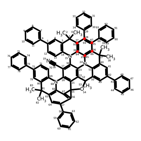 CC1(C)c2cc(-c3ccccc3)ccc2N(c2c(C#N)c3c4c5c2N2c6ccc(-c7ccccc7)cc6C(C)(C)c6cc(-c7ccccc7)cc(c62)C5(C)OC42c4c(-c5ccccc5)cc5c(c42)N3c2ccc(-c3ccccc3)cc2C5(C)C)c2ccc(-c3ccccc3)cc21